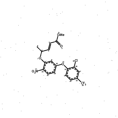 COC(=O)/C=C/C(C)Oc1cc(Oc2ccc(C(F)(F)F)cc2Cl)ccc1[N+](=O)[O-]